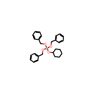 c1ccc(CO[Si](OCc2ccccc2)(OCc2ccccc2)OC2CCCCC2)cc1